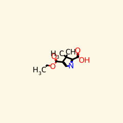 CCOC(=O)C1=CN=C(C(=O)O)C1(C)C